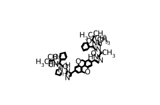 CCCN(C(=O)[C@H](NC(=O)C(C)(C)C)c1ccccc1)[C@@H](C)c1ncc(-c2cc3c4c(c2)OCc2cc(-c5cnc([C@@H]6CCCN6C(=O)[C@H](NC(=O)C(C)(C)C)c6ccccc6)[nH]5)cc(c2-4)OC3)[nH]1